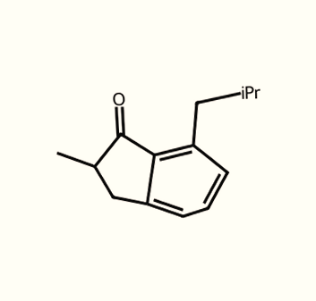 CC(C)Cc1cccc2c1C(=O)C(C)C2